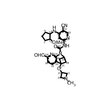 COC1CCCC1Nc1cc(NC(=O)N2c3nc(C=O)ccc3C3(OC4CN(C)C4)CC2C3)ncc1C#N